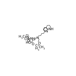 CC(C)OCCN(CCCCc1ccc2c(n1)NCCC2)CCC(NC(=O)N1CCC1(C)C)C(=O)O